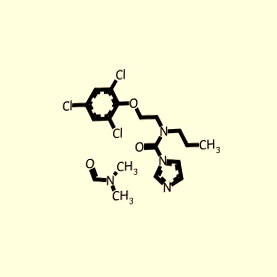 CCCN(CCOc1c(Cl)cc(Cl)cc1Cl)C(=O)n1ccnc1.CN(C)C=O